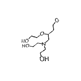 [O]CCC(CN(CCO)CCO)OCCO